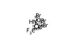 O=C(Br)CBr.O=C(CBr)Nc1cccc(C(F)(F)F)c1